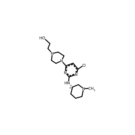 CN1CCC[C@H](Nc2nc(Cl)cc(N3CCN(CCO)CC3)n2)C1